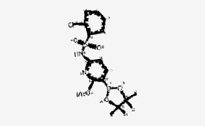 COc1nc(NS(=O)(=O)c2ccccc2Cl)ccc1B1OC(C)(C)C(C)(C)O1